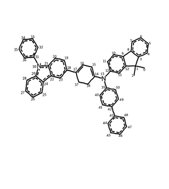 CC1(C)c2ccccc2-c2ccc(N(C3=CC=C(c4ccc5c(c4)c4ccccc4n5-c4ccccc4)CC3)c3ccc(-c4ccccc4)cc3)cc21